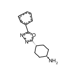 N[C@H]1CC[C@H](c2nnc(-c3ccccc3)o2)CC1